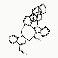 C=CC1=NC2CC(=C)[n+]3c(n(-c4ccc5ccccc5c4)c4ccccc43)-c3c(ccc4c3oc3ccccc34)CCC2c2ccccc21